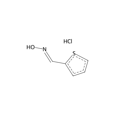 Cl.ON=Cc1cccs1